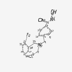 C#CCN(Cc1ccc(C(=O)NO)cc1)Cc1ccccc1F